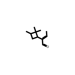 C/C=C(/C=O)C1CC(C)C1(C)C